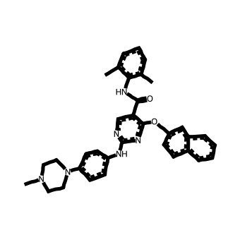 Cc1cccc(C)c1NC(=O)c1cnc(Nc2ccc(N3CCN(C)CC3)cc2)nc1Oc1ccc2ccccc2c1